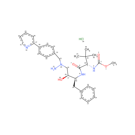 COC(=O)N[C@H](C(=O)N[C@@H](Cc1ccccc1)[C@@H](O)CN(N)Cc1ccc(-c2ccccn2)cc1)C(C)(C)C.Cl